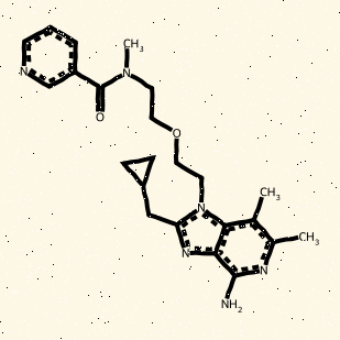 Cc1nc(N)c2nc(CC3CC3)n(CCOCCN(C)C(=O)c3cccnc3)c2c1C